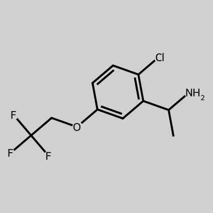 CC(N)c1cc(OCC(F)(F)F)ccc1Cl